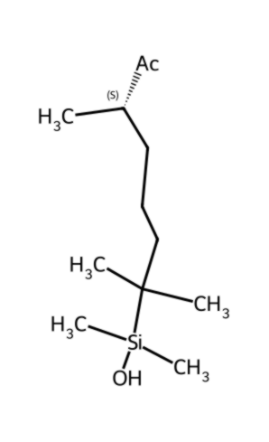 CC(=O)[C@@H](C)CCCC(C)(C)[Si](C)(C)O